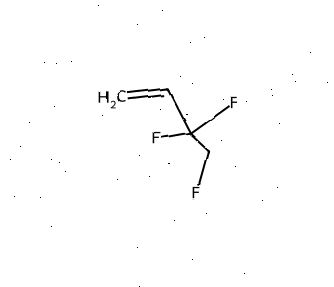 C=CC(F)(F)CF